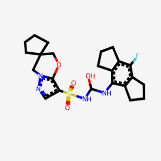 O=S(=O)(NC(O)Nc1c2c(c(F)c3c1CCC3)CCC2)c1cnn2c1OCC1(CCCC1)C2